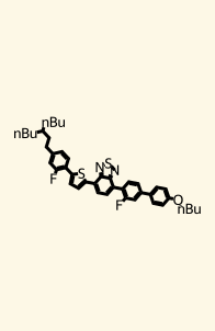 CCCCOc1ccc(-c2ccc(-c3ccc(-c4ccc(-c5ccc(CCC(CCCC)CCCC)cc5F)s4)c4nsnc34)c(F)c2)cc1